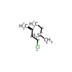 C=CCCCl.CC[SiH2]C